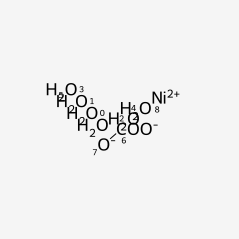 O.O.O.O.O.O.O=C([O-])[O-].[Ni+2]